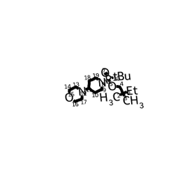 CCC(C)(C)COP(=O)(N1CCC(N2CCOCC2)CC1)C(C)(C)C